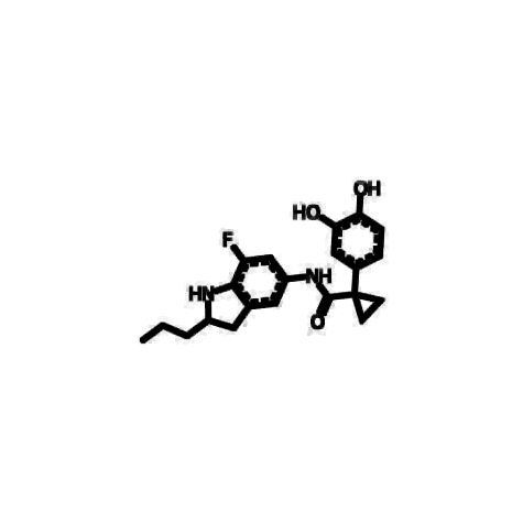 CCCC1Cc2cc(NC(=O)C3(c4ccc(O)c(O)c4)CC3)cc(F)c2N1